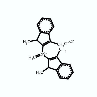 [CH2]=[Zr+2]([C]1=C(C)c2ccccc2C1C)[C]1=C(C)c2ccccc2C1C.[Cl-].[Cl-]